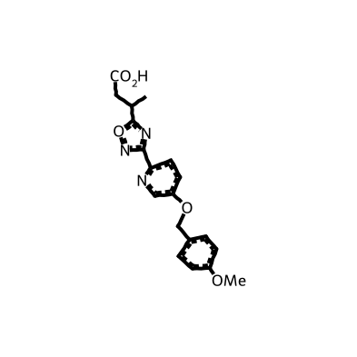 COc1ccc(COc2ccc(-c3noc(C(C)CC(=O)O)n3)nc2)cc1